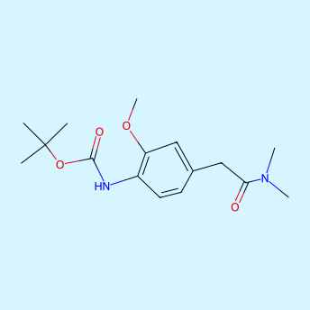 COc1cc(CC(=O)N(C)C)ccc1NC(=O)OC(C)(C)C